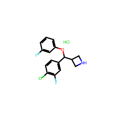 Cl.Fc1cccc(OC(c2ccc(Cl)c(F)c2)C2CNC2)c1